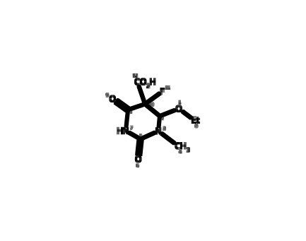 CCOC1N(C)C(=O)NC(=O)C1(F)C(=O)O